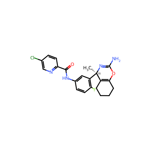 C[C@]1(c2cc(NC(=O)c3ccc(Cl)cn3)ccc2F)N=C(N)OC2=C1CCCC2